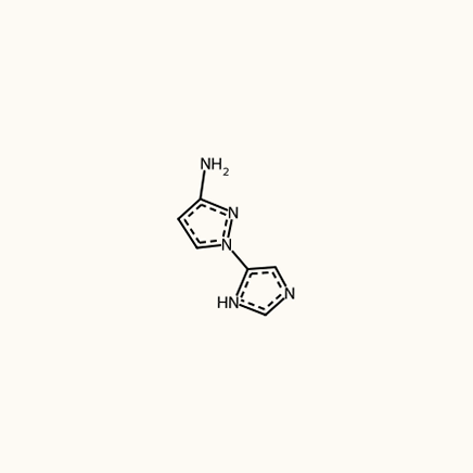 Nc1ccn(-c2cnc[nH]2)n1